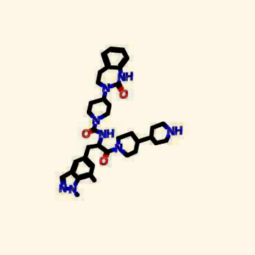 Cc1cc(CC(NC(=O)N2CCC(N3CCc4ccccc4NC3=O)CC2)C(=O)N2CCC(C3CCNCC3)CC2)cc2cnn(C)c12